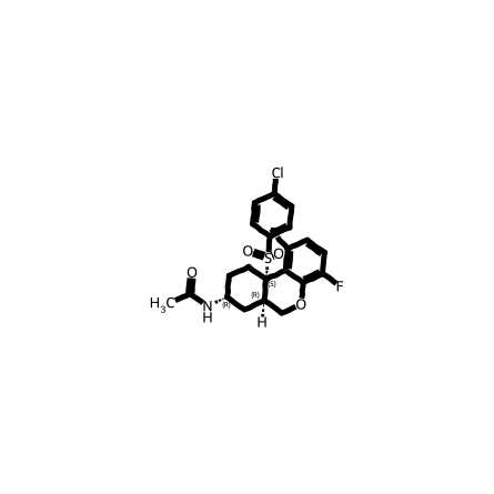 CC(=O)N[C@@H]1CC[C@@]2(S(=O)(=O)c3ccc(Cl)cc3)c3c(F)ccc(F)c3OC[C@H]2C1